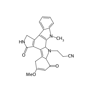 COC1=CC(=O)C2C(=C3C4=C(CNC4=O)c4c(n(C)c5ccccc45)C3N2CCC#N)C1